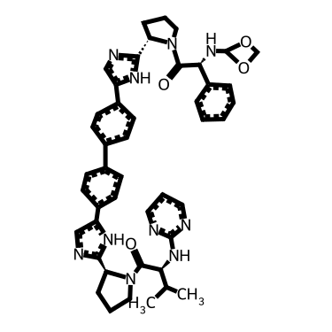 CC(C)[C@H](Nc1ncccn1)C(=O)N1CCC[C@H]1c1ncc(-c2ccc(-c3ccc(-c4cnc([C@@H]5CCCN5C(=O)[C@H](NC5OCO5)c5ccccc5)[nH]4)cc3)cc2)[nH]1